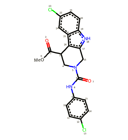 COC(=O)C1CN(C(=O)Nc2ccc(Cl)cc2)Cc2[nH]c3ccc(Cl)cc3c21